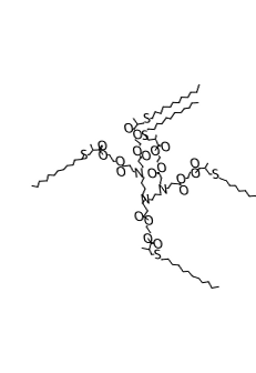 CCCCCCCCCCCCSCC(C)C(=O)OCCOC(=O)CCN(CCCCN(CCC(=O)OCCOC(=O)C(C)CSCCCCCCCCCCCC)CCC(=O)OCCOC(=O)C(C)CSCCCCCCCCCCCC)CCCN(CCC(=O)OCCOC(=O)C(C)CSCCCCCCCCCCCC)CCC(=O)OCCOC(=O)C(C)CSCCCCCCCCCCCC